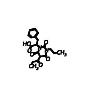 CCCN1C(=O)C(C(=O)CC)C(=O)N(C(Cc2ccccc2)C(=O)O)C1=O